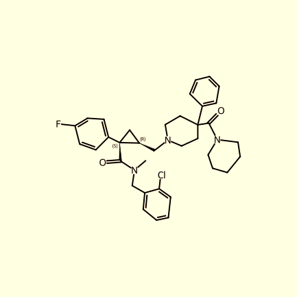 CN(Cc1ccccc1Cl)C(=O)[C@@]1(c2ccc(F)cc2)C[C@H]1CN1CCC(C(=O)N2CCCCC2)(c2ccccc2)CC1